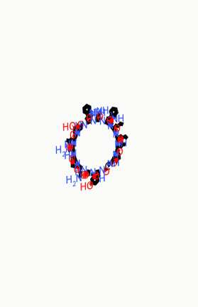 CCCC[C@H]1C(=O)N(C)[C@@H](CCCC)C(=O)N[C@@H](CC(C)C)C(=O)N2CCC[C@@H]2C(=O)NCC(=O)N[C@@H](Cc2ccc(O)cc2)C(=O)N(C)[C@@H](C)C(=O)N[C@@H](CC(N)=O)C(=O)N2CCC[C@H]2C(=O)N[C@@H](CN)C(=O)N[C@@H](CC(C)C)C(=O)N2C[C@H](O)C[C@H]2C(=O)N[C@@H](Cc2c[nH]c3ccccc23)C(=O)N[C@@H](CCN)C(=O)N[C@@H](Cc2c[nH]c3ccccc23)C(=O)N1C